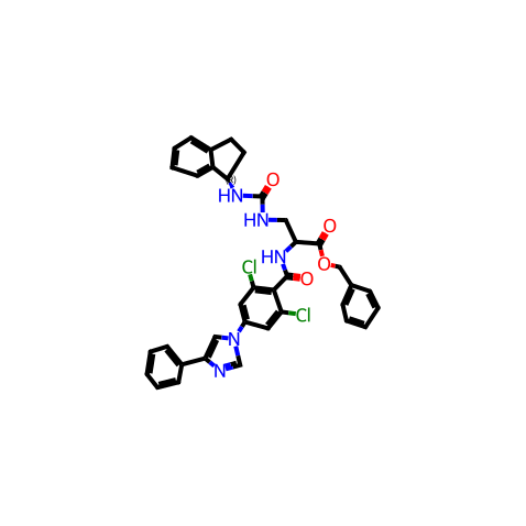 O=C(NCC(NC(=O)c1c(Cl)cc(-n2cnc(-c3ccccc3)c2)cc1Cl)C(=O)OCc1ccccc1)N[C@@H]1CCc2ccccc21